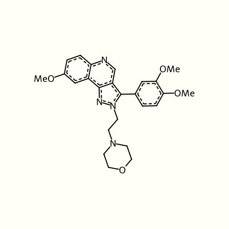 COc1ccc2ncc3c(-c4ccc(OC)c(OC)c4)n(CCN4CCOCC4)nc3c2c1